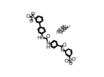 O=C(Nc1ccc(C(=O)N=C2C=C(P(=O)([O-])[O-])C=CC2)cc1)Nc1ccc(-c2cccc(P(=O)([O-])[O-])c2)cc1.[Na+].[Na+].[Na+].[Na+]